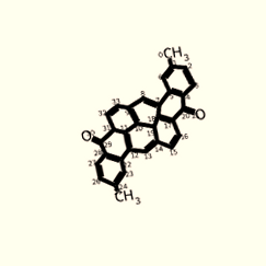 Cc1ccc2c(c1)C1=CC3=C4C5=C(C=C6C=CC(=C1C64)C2=O)c1cc(C)ccc1C(=O)C5C=C3